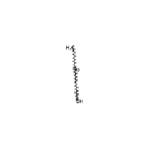 CCCCCCCCCCCCOC(=O)CCCCCCCCCCCCCCCCCO